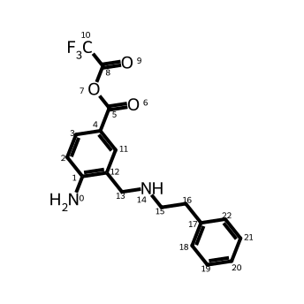 Nc1ccc(C(=O)OC(=O)C(F)(F)F)cc1CNCCc1ccccc1